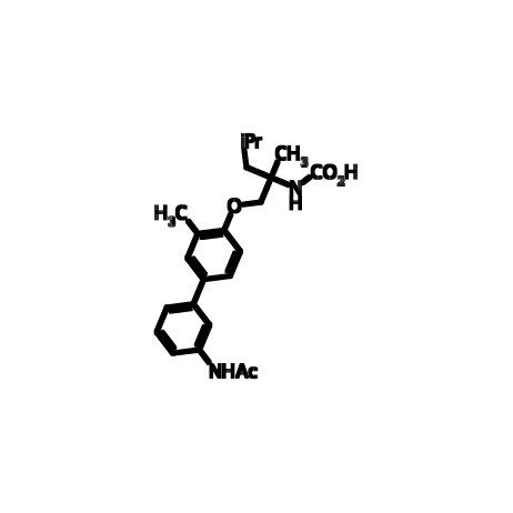 CC(=O)Nc1cccc(-c2ccc(OCC(C)(CC(C)C)NC(=O)O)c(C)c2)c1